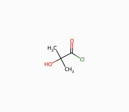 CC(C)(O)C(=O)Cl